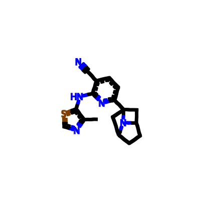 Cc1ncsc1Nc1nc(C23CC4CCC(C2)N43)ccc1C#N